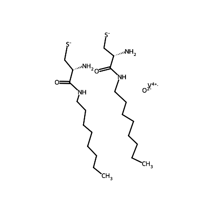 CCCCCCCCNC(=O)[C@@H](N)C[S-].CCCCCCCCNC(=O)[C@@H](N)C[S-].[O-2].[V+4]